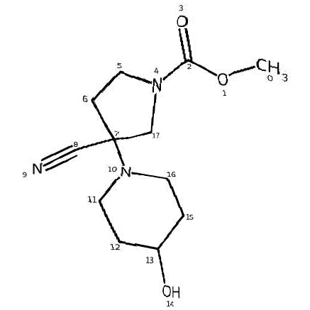 COC(=O)N1CCC(C#N)(N2CCC(O)CC2)C1